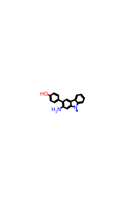 Cn1c2ccccc2c2cc(-c3ccc(O)cc3)c(N)cc21